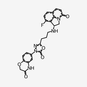 O=C1COc2ccc(-n3nc(CCCN[C@@H]4Cn5c(=O)ccc6ccc(F)c4c65)oc3=O)cc2N1